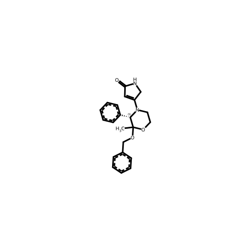 CC1(OCc2ccccc2)OCCN(C2=CC(=O)NC2)[C@H]1c1ccccc1